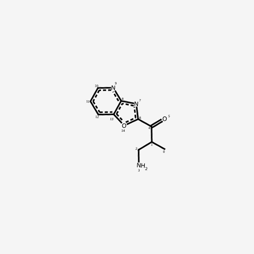 CC(CN)C(=O)c1nc2ncccc2o1